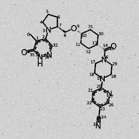 Cc1c(N2CCC[C@H]2CO[C@H]2CC[C@@H](C(=O)N3CCN(c4ccc(C#N)cn4)CC3)CC2)cn[nH]c1=O